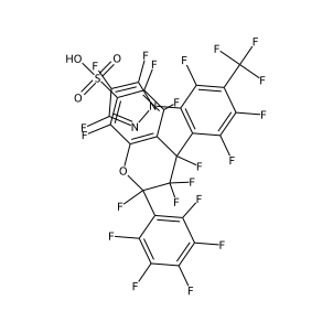 O=S(=O)(O)c1c(F)c(F)c2c(c1F)OC(F)(c1c(F)c(F)c(F)c(F)c1F)C(F)(F)C2(F)c1c(F)c(F)c(C(F)(F)F)c(F)c1-n1nc(F)c(F)c1F